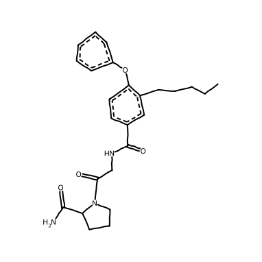 CCCCCc1cc(C(=O)NCC(=O)N2CCCC2C(N)=O)ccc1Oc1ccccc1